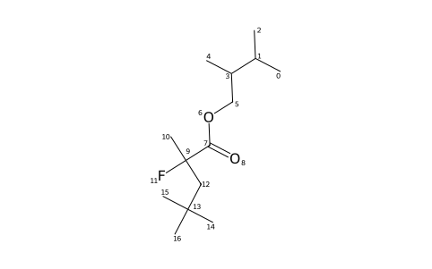 CC(C)C(C)COC(=O)C(C)(F)CC(C)(C)C